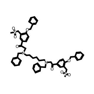 CS(=O)(=O)Cc1cc(C(=O)CN(CCCCCCN(CC(=O)c2ccc(OCc3ccccc3)c(CS(C)(=O)=O)c2)Cc2ccccc2)Cc2ccccc2)ccc1OCc1ccccc1